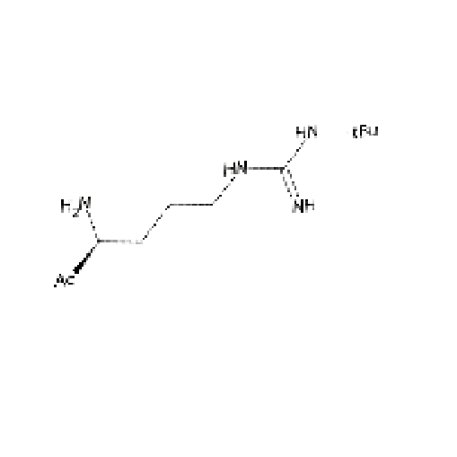 CC(=O)[C@@H](N)CCCNC(=N)NC(C)(C)C